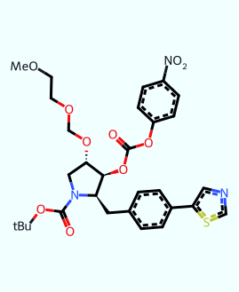 COCCOCO[C@H]1CN(C(=O)OC(C)(C)C)[C@H](Cc2ccc(-c3cncs3)cc2)[C@@H]1OC(=O)Oc1ccc([N+](=O)[O-])cc1